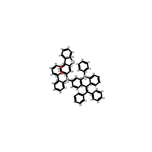 c1ccc(C(=C2c3ccccc3N(c3ccccc3)c3cc(N(c4ccc5c(c4)oc4ccccc45)c4ccccc4-c4ccccc4)ccc32)c2ccccc2)cc1